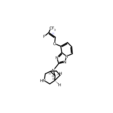 F/C(=C\Oc1cccn2nc(N3[C@H]4[C@H]5CC[C@]43CNC5)nc12)C(F)(F)F